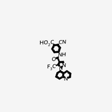 N#Cc1cc(NC(=O)c2cnn(-c3cccc4ncccc34)c2C(F)(F)F)ccc1C(=O)O